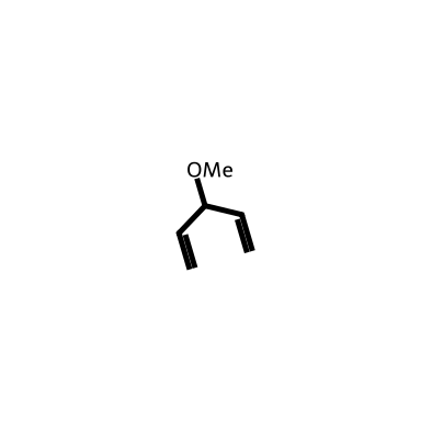 C=CC(C=C)OC